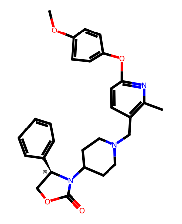 COc1ccc(Oc2ccc(CN3CCC(N4C(=O)OC[C@H]4c4ccccc4)CC3)c(C)n2)cc1